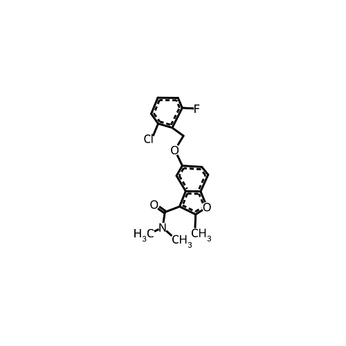 Cc1oc2ccc(OCc3c(F)cccc3Cl)cc2c1C(=O)N(C)C